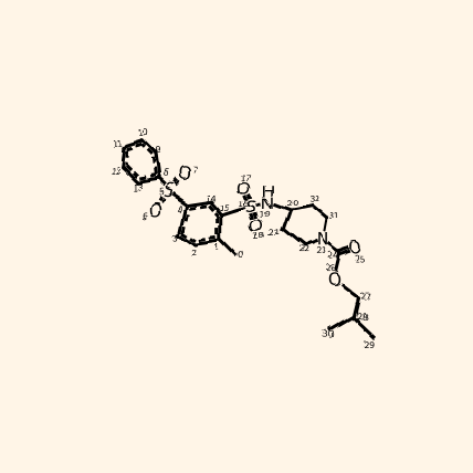 Cc1ccc(S(=O)(=O)c2ccccc2)cc1S(=O)(=O)NC1CCN(C(=O)OCC(C)C)CC1